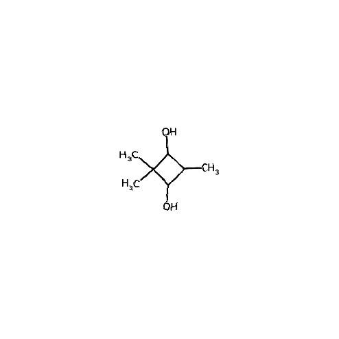 CC1C(O)C(C)(C)C1O